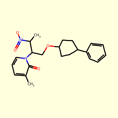 Cc1cccn(C(COC2CCC(c3ccccc3)CC2)C(C)[N+](=O)[O-])c1=O